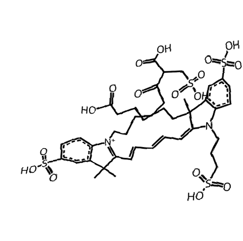 CC1(C)C(C=CC=CC=C2N(CCCS(=O)(=O)O)c3ccc(S(=O)(=O)O)cc3C2(C)CCCCCC(=O)O)=[N+](CCCCCC(=O)C(CS(=O)(=O)O)C(=O)O)c2ccc(S(=O)(=O)O)cc21